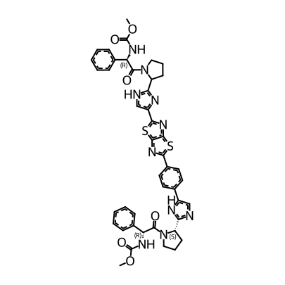 COC(=O)N[C@@H](C(=O)N1CCCC1c1nc(-c2nc3sc(-c4ccc(-c5cnc([C@@H]6CCCN6C(=O)[C@H](NC(=O)OC)c6ccccc6)[nH]5)cc4)nc3s2)c[nH]1)c1ccccc1